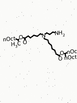 CCCCCCCCC(C)OC(=O)CCCCCN(CCCN)CCCCCCCC(=O)OC(CCCCCCCC)CCCCCCCC